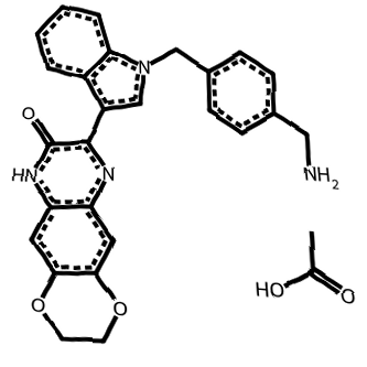 CC(=O)O.NCc1ccc(Cn2cc(-c3nc4cc5c(cc4[nH]c3=O)OCCO5)c3ccccc32)cc1